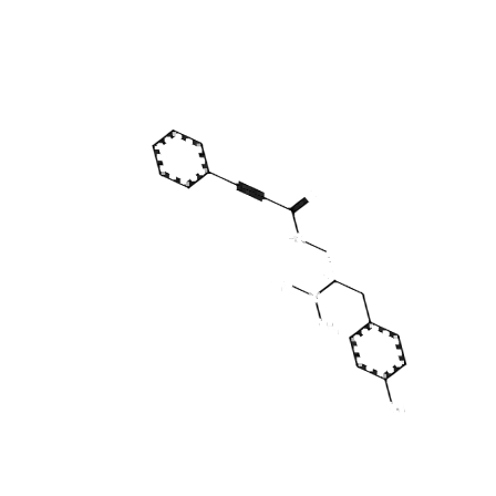 CN(C)[C@H](CNC(=O)C#Cc1ccccc1)Cc1ccc(O)cc1